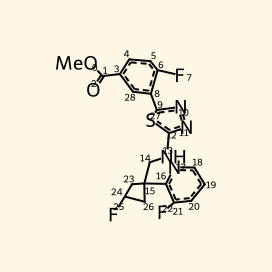 COC(=O)c1ccc(F)c(-c2nnc(NCC3(c4ncccc4F)CC(F)C3)s2)c1